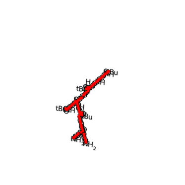 CC(C)(C)OC(=O)NCCOCCOCCOCCNCCOCCOCCOCC(C#CCOCCOCCOCCOCCC(=O)N(CCOCCOCCOCCNC(=O)OC(C)(C)C)CCOCCOCCOCC(C#CCOCCOCCOCCOCCC(=O)N(CCOCCOCCOCCN)CCOCCOCCOCCN)NC(=O)OC(C)(C)C)NC(=O)OC(C)(C)C